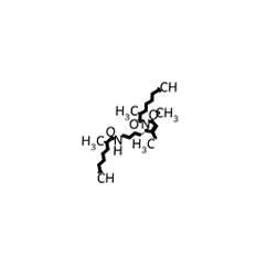 C#CCCCC[C@@H](C)C(=O)NCCCC[C@H]1C(CC)=CC(OC)N1C(=O)[C@H](C)CCCCC#C